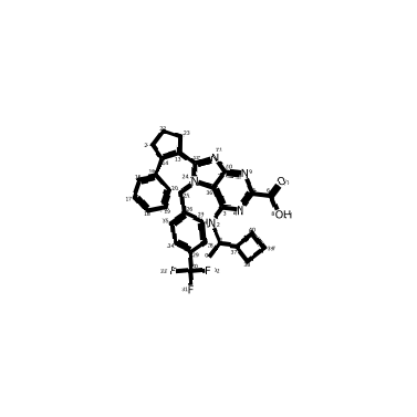 CC(Nc1nc(C(=O)O)nc2nc(C3=C(c4ccccc4)CCC3)n(Cc3ccc(C(F)(F)F)cc3)c12)C1CCC1